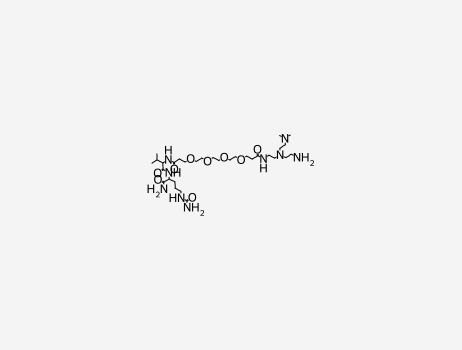 CC(C)C(NC(=O)CCOCCOCCOCCOCCC(=O)NCCN(CCN)CCN(C)C)C(=O)NC(CCCNC(N)=O)C(N)=O